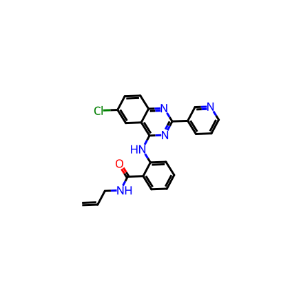 C=CCNC(=O)c1ccccc1Nc1nc(-c2cccnc2)nc2ccc(Cl)cc12